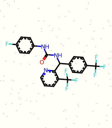 O=C(Nc1ccc(F)cc1)NC(c1ccc(C(F)(F)F)cc1)c1ncccc1C(F)(F)F